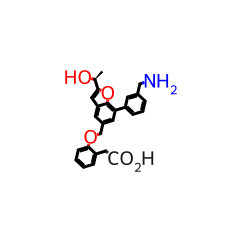 C[C@H](O)c1cc2cc(COc3ccccc3CC(=O)O)cc(-c3cccc(CN)c3)c2o1